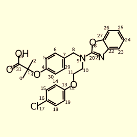 CC(C)(Oc1ccc(CN(CCOc2ccc(Cl)cc2)c2nc3ccccc3o2)cc1)C(=O)O